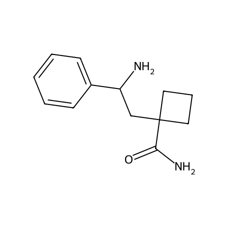 NC(=O)C1(CC(N)c2ccccc2)CCC1